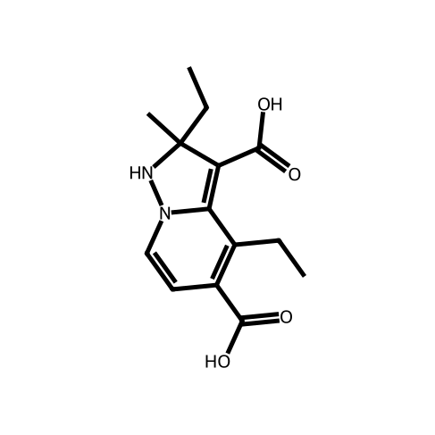 CCC1=C(C(=O)O)C=CN2NC(C)(CC)C(C(=O)O)=C12